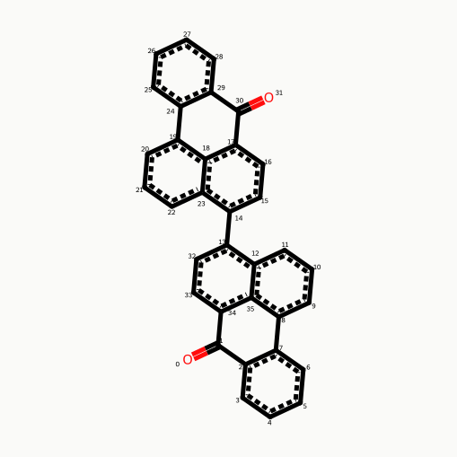 O=C1c2ccccc2-c2cccc3c(-c4ccc5c6c(cccc46)-c4ccccc4C5=O)ccc1c23